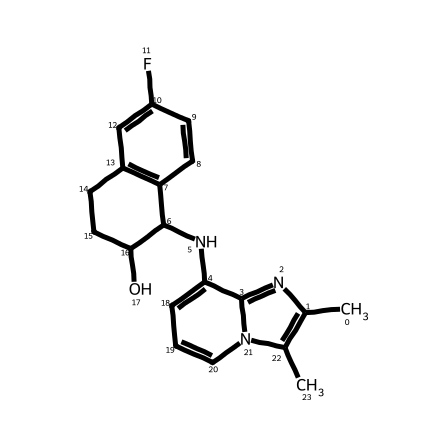 Cc1nc2c(NC3c4ccc(F)cc4CCC3O)cccn2c1C